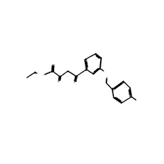 CCOC(=O)C(=O)CC(=O)c1cccc(OCc2ccc(C)cc2)c1